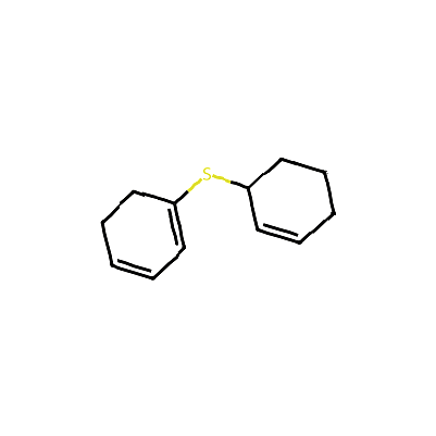 C1=CCCC(SC2C=CCCC2)=C1